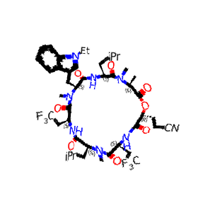 CCn1cc(C[C@H]2C(=O)N[C@@H](CC(C)C)C(=O)N(C)[C@@H](C)C(=O)O[C@H](CCC#N)C(=O)N[C@@H](CC(F)(F)F)C(=O)N(C)[C@@H](CC(C)C)C(=O)N[C@@H](CC(F)(F)F)C(=O)N2C)c2ccccc21